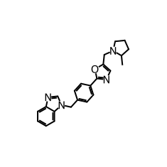 CC1CCCN1Cc1cnc(-c2ccc(Cn3cnc4ccccc43)cc2)o1